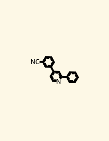 N#Cc1cccc(-c2ccnc(-c3ccccc3)c2)c1